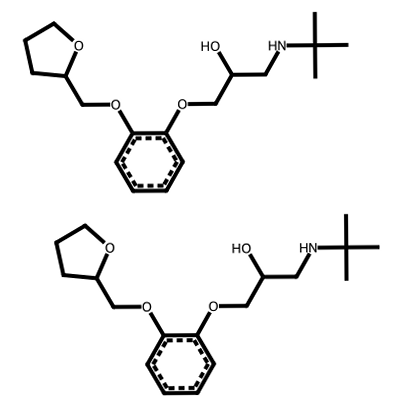 CC(C)(C)NCC(O)COc1ccccc1OCC1CCCO1.CC(C)(C)NCC(O)COc1ccccc1OCC1CCCO1